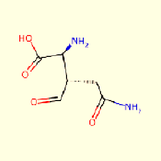 NC(=O)C[C@H](C=O)[C@H](N)C(=O)O